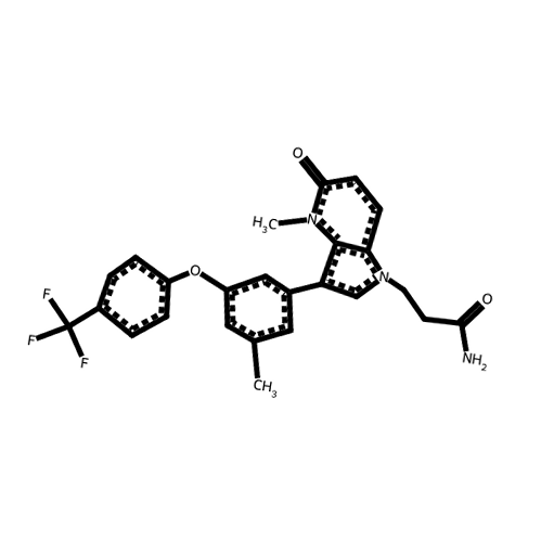 Cc1cc(Oc2ccc(C(F)(F)F)cc2)cc(-c2cn(CCC(N)=O)c3ccc(=O)n(C)c23)c1